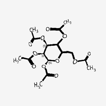 CC(=O)OCC1O[C@@H](OC(C)=O)[C@@H](OC(C)=O)[C@@H](OC(C)=O)C1OC(C)=O